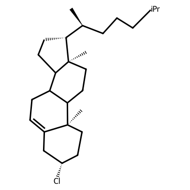 CC(C)CCC[C@H](C)[C@H]1CCC2C3CC=C4C[C@@H](Cl)CC[C@]4(C)C3CC[C@@]21C